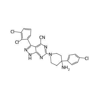 N#Cc1nc(N2CCC(N)(c3ccc(Cl)cc3)CC2)nc2[nH]nc(-c3cccc(Cl)c3Cl)c12